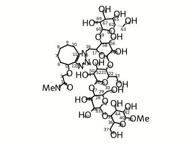 CNC(=O)COC1CCCCCc2c1nnn2CC1OC(OC2C(CO)OC(OC3C(CO)OC(OC4C(CO)OC(OC)C(O)C4O)C(O)C3O)C(O)C2O)C(O)C(O)C1OC1O[C@@H](CO)C(O)C(O)C1O